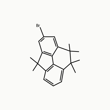 CC1(C)c2cccc3c2-c2c1cc(Br)cc2C(C)(C)C3(C)C